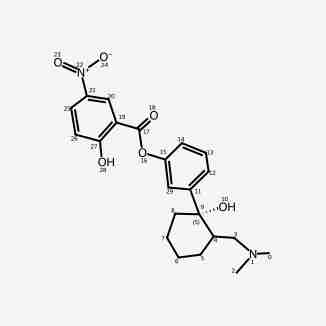 CN(C)CC1CCCC[C@@]1(O)c1cccc(OC(=O)c2cc([N+](=O)[O-])ccc2O)c1